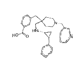 O=C(O)c1cccc(CC2(CN[C@@H]3CC3c3ccccc3)CCN(Cc3cccnc3)CC2)c1